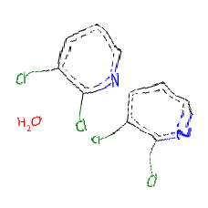 Clc1cccnc1Cl.Clc1cccnc1Cl.O